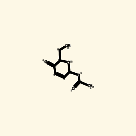 CC(=O)OC1C=CC(=O)C(CO)O1